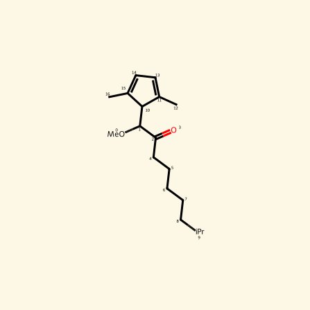 COC(C(=O)CCCCCC(C)C)C1C(C)=CC=C1C